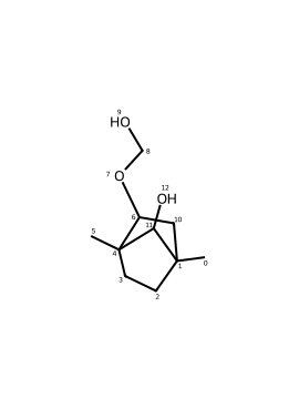 CC12CCC(C)(C(OCO)C1)C2O